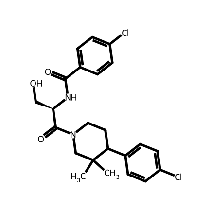 CC1(C)CN(C(=O)[C@@H](CO)NC(=O)c2ccc(Cl)cc2)CCC1c1ccc(Cl)cc1